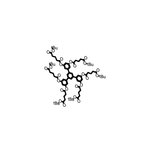 CC(C)(C)OC(=O)CCCC(=O)Oc1cc(OC(=O)CCCC(=O)OC(C)(C)C)cc(-c2cc(-c3cc(OC(=O)CCCC(=O)OC(C)(C)C)cc(OC(=O)CCCC(=O)OC(C)(C)C)c3)cc(-c3cc(OC(=O)CCCC(=O)OC(C)(C)C)cc(OC(=O)CCCC(=O)OC(C)(C)C)c3)c2)c1